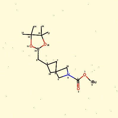 CC(C)(C)OC(=O)N1CC2(CC(CB3OC(C)(C)C(C)(C)O3)C2)C1